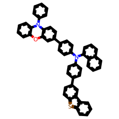 c1ccc(N2c3ccccc3Oc3cc(-c4ccc(N(c5ccc(-c6ccc7sc8ccccc8c7c6)cc5)c5cccc6ccccc56)cc4)ccc32)cc1